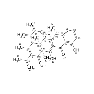 C=CC(=C)O[C@@H]1[C@]2(C)C(=C(O)[C@@]3(C)C(=C)C(C(=C)C)=C(C)C[C@@]13C)C(=O)c1c(O)cccc1[C@H]2C